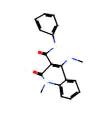 CNc1c(C(=O)Nc2ccccc2)c(=O)n(C)c2ccccc12